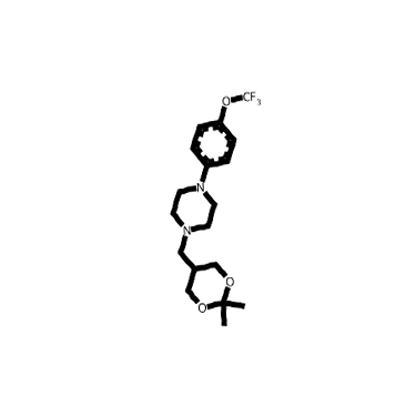 CC1(C)OCC(CN2CCN(c3ccc(OC(F)(F)F)cc3)CC2)CO1